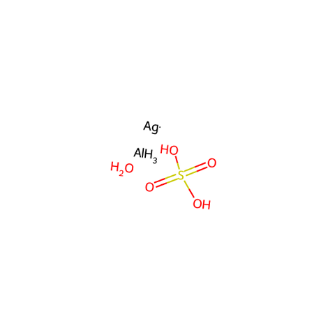 O.O=S(=O)(O)O.[Ag].[AlH3]